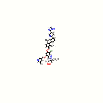 Cc1c(COc2cc(OCc3cncc(C#N)c3)c(CNC(C)(CO)C(=O)O)cc2Cl)cccc1-c1cccc(-c2ccc(C3=NCCN3)cn2)c1C